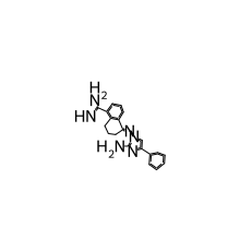 N=C(N)c1cccc2c1CCCC2=Nn1cc(-c2ccccc2)nc1N